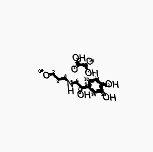 COCCCNC[C@H](O)c1ccc(O)c(O)c1.O=C(O)C(=O)O